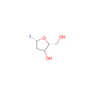 OC[C@H]1O[C@@H](I)CC1O